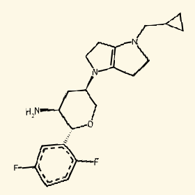 N[C@H]1C[C@@H](N2CCC3=C2CCN3CC2CC2)CO[C@@H]1c1cc(F)ccc1F